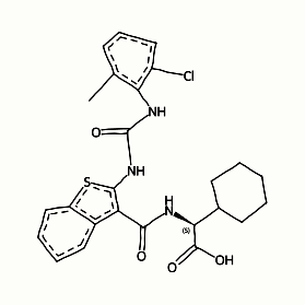 Cc1cccc(Cl)c1NC(=O)Nc1sc2ccccc2c1C(=O)N[C@H](C(=O)O)C1CCCCC1